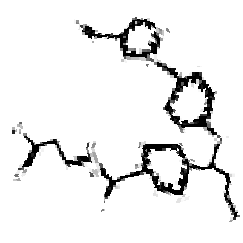 CCCC(Oc1ccc(-n2cc(C#N)cn2)cc1)c1ccc(C(=O)NCCC(=O)O)cc1